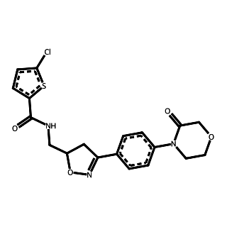 O=C(NCC1CC(c2ccc(N3CCOCC3=O)cc2)=NO1)c1ccc(Cl)s1